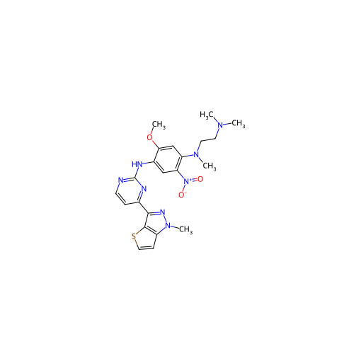 COc1cc(N(C)CCN(C)C)c([N+](=O)[O-])cc1Nc1nccc(-c2nn(C)c3ccsc23)n1